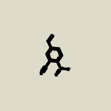 C=[C]c1ccc([N+](=O)[O-])c(C#N)c1